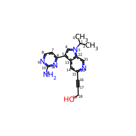 CC(C)n1cc(-c2ccnc(N)n2)c2cc(C#CCO)ncc21